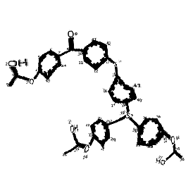 CC(O)Oc1ccc(C(=O)c2ccc(Sc3ccc([S+](c4ccc(OC(C)O)cc4)c4ccc(OC(C)O)cc4)cc3)cc2)cc1